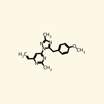 C=Cc1cc(-n2nc(C)nc2Cc2ccc(OC)cc2)nc(C)n1